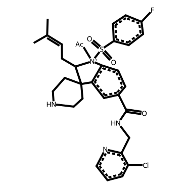 CC(=O)[N+]1(S(=O)(=O)c2ccc(F)cc2)c2ccc(C(=O)NCc3ncccc3Cl)cc2C2(CCNCC2)C1CC=C(C)C